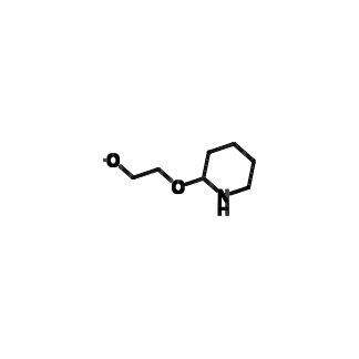 [O]CCOC1CCCCN1